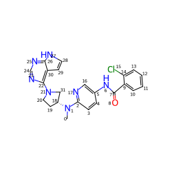 CN(c1ccc(NC(=O)c2ccccc2Cl)cn1)[C@@H]1CCN(c2ncnc3[nH]ccc23)C1